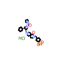 CS(=O)(=O)c1ccc(CN2CCC3(CCN(C[C@H]4CN(C(=O)N5CCCC5)C[C@@H]4c4ccccc4)CC3)C2=O)cc1.Cl